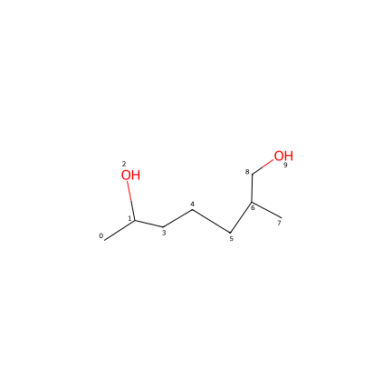 CC(O)CCCC(C)CO